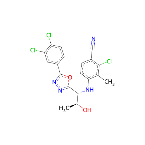 Cc1c(N[C@@H](c2nnc(-c3ccc(Cl)c(Cl)c3)o2)[C@H](C)O)ccc(C#N)c1Cl